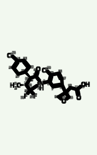 C[C@H]([C@H](C(=O)Nc1cc(C2(CC(=O)O)COC2)ccc1Cl)C1C=CC(Cl)=CC1)C(F)(F)F